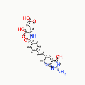 Nc1nc(O)c2cc(/C=C/c3ccc(C(=O)N[C@@H](CCC(=O)O)C(=O)O)cc3)cnc2n1